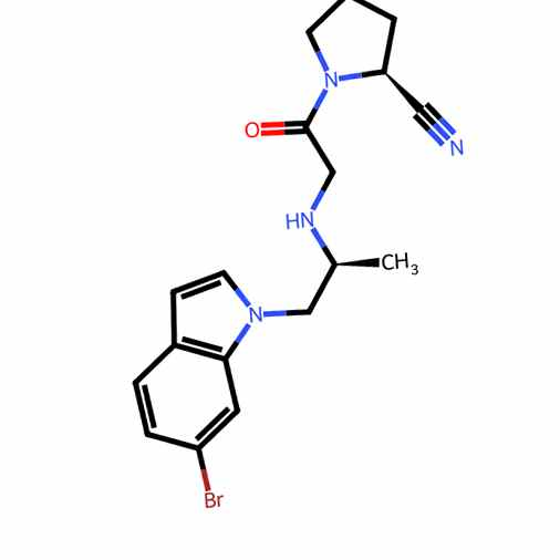 C[C@@H](Cn1ccc2ccc(Br)cc21)NCC(=O)N1CCC[C@H]1C#N